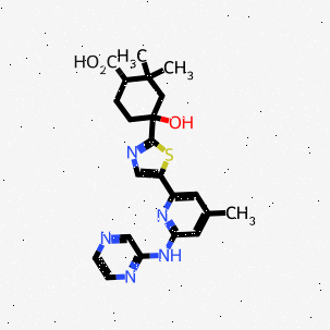 Cc1cc(Nc2cnccn2)nc(-c2cnc(C3(O)CCC(C(=O)O)C(C)(C)C3)s2)c1